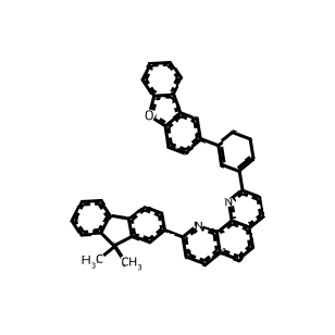 CC1(C)c2ccccc2-c2ccc(-c3ccc4ccc5ccc(C6=CCCC(c7ccc8oc9ccccc9c8c7)=C6)nc5c4n3)cc21